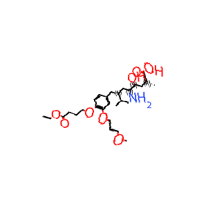 CCOC(=O)CCCOc1ccc(C[C@@H](C[C@H](N)[C@@H](O)C[C@@H](C)C(=O)O)C(C)C)cc1OCCCOC